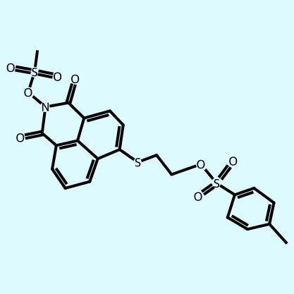 Cc1ccc(S(=O)(=O)OCCSc2ccc3c4c(cccc24)C(=O)N(OS(C)(=O)=O)C3=O)cc1